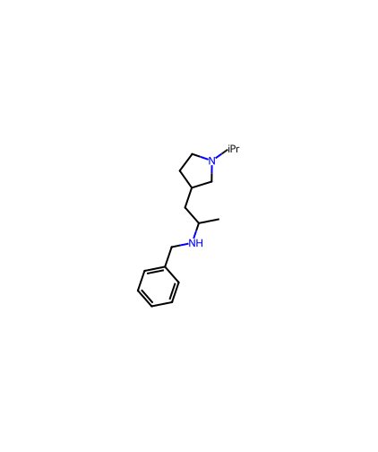 CC(CC1CCN(C(C)C)C1)NCc1ccccc1